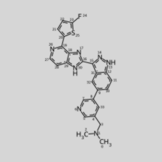 CN(C)Cc1cncc(-c2ccc3[nH]nc(-c4nc5c(-c6ccc(F)s6)nccc5[nH]4)c3c2)c1